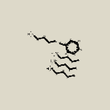 CCCCN.CCCCN.CCCCN.CCCCN.Cc1ccccc1